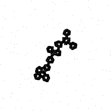 c1ccc(-c2nc(-c3ccccc3)nc(-c3cccc(-c4cccc5c4c4ccccc4n5-c4ccc(-c5ccc6c(c5)c5ccccc5n6-c5ccccc5-c5ccccc5)cc4)c3)n2)cc1